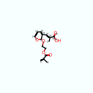 C=C(C)C(=O)OCCOC1OC=CC=C1C=C(C)C(=O)O